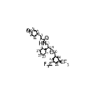 O=C(C=Cc1cc[n+]([O-])cc1)NCC(COCc1cc(C(F)(F)F)cc(C(F)(F)F)c1)c1ccccc1